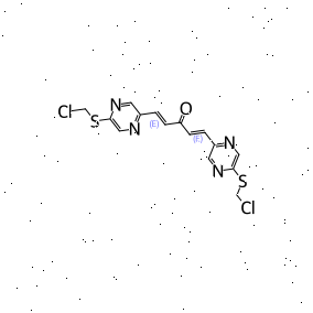 O=C(/C=C/c1cnc(SCCl)cn1)/C=C/c1cnc(SCCl)cn1